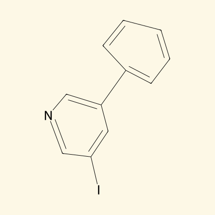 Ic1cncc(-c2ccccc2)c1